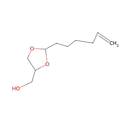 C=CCCCCC1OCC(CO)O1